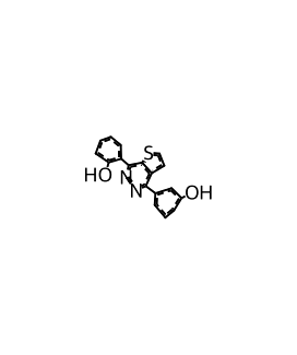 Oc1cccc(-c2nnc(-c3ccccc3O)c3sccc23)c1